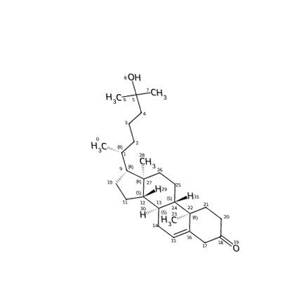 C[C@H](CCCC(C)(C)O)[C@H]1CC[C@H]2[C@@H]3CC=C4CC(=O)CC[C@]4(C)[C@H]3CC[C@]12C